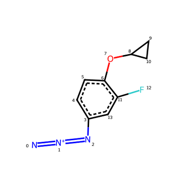 [N-]=[N+]=Nc1ccc(OC2CC2)c(F)c1